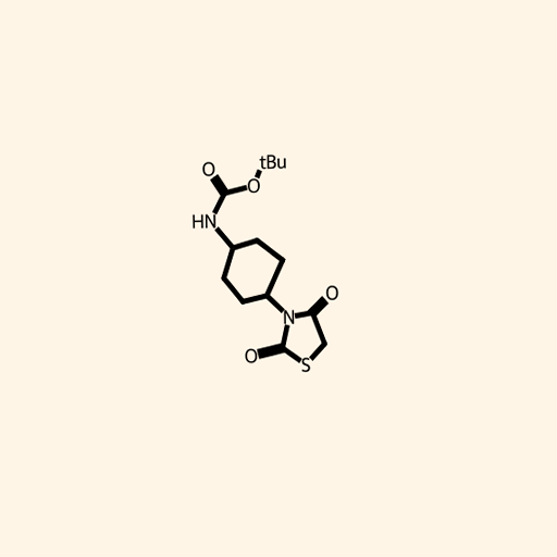 CC(C)(C)OC(=O)NC1CCC(N2C(=O)CSC2=O)CC1